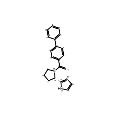 O=C(c1ccc(-c2ccccc2)cc1)N1CCC[C@H]1c1ncc[nH]1